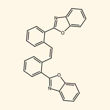 C(=C/c1ccccc1-c1nc2ccccc2o1)/c1ccccc1-c1nc2ccccc2o1